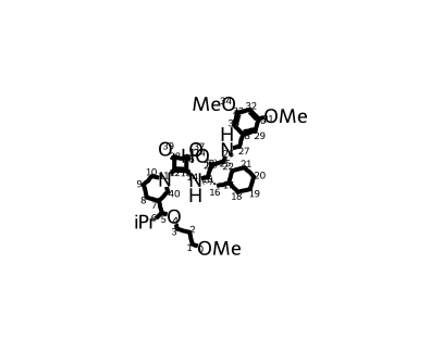 COCCCOC(C(C)C)C1CCCN(c2c(N[C@@H](CC3CCCCC3)[C@H](O)CNCc3cc(OC)cc(OC)c3)c(=O)c2=O)C1